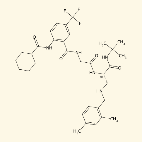 Cc1ccc(CNC[C@H](NC(=O)CNC(=O)c2cc(C(F)(F)F)ccc2NC(=O)C2CCCCC2)C(=O)NC(C)(C)C)c(C)c1